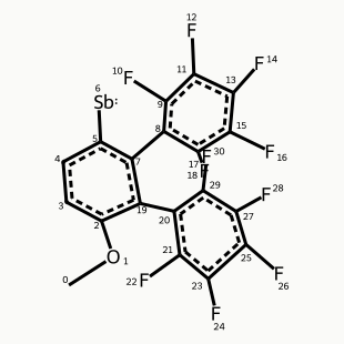 COc1cc[c]([Sb])c(-c2c(F)c(F)c(F)c(F)c2F)c1-c1c(F)c(F)c(F)c(F)c1F